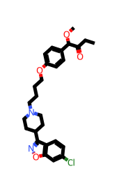 CCC(=O)C(OC)c1ccc(OCCCCN2CCC(c3noc4cc(Cl)ccc34)CC2)cc1